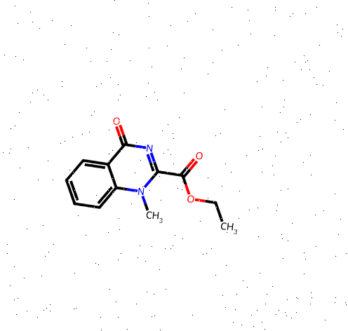 CCOC(=O)c1nc(=O)c2ccccc2n1C